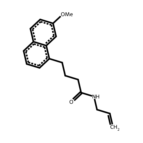 C=CCNC(=O)CCCc1cccc2ccc(OC)cc12